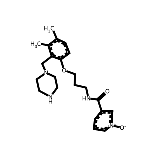 Cc1ccc(OCCCNC(=O)c2ccc[n+]([O-])c2)c(CN2CCNCC2)c1C